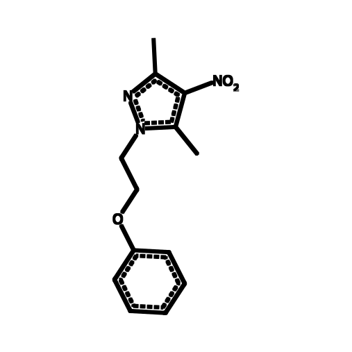 Cc1nn(CCOc2ccccc2)c(C)c1[N+](=O)[O-]